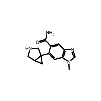 Cn1cnc2cc(C(N)=O)c(C34CNCC3C4)cc21